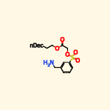 CCCCCCCCCCCCOC(=O)COS(=O)(=O)c1cccc(CN)c1